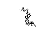 CCC(C)(C)CC(C(=O)Oc1cccc2c(OCC(=O)OCC(F)(F)C(F)(F)F)cccc12)C(C)(C)C